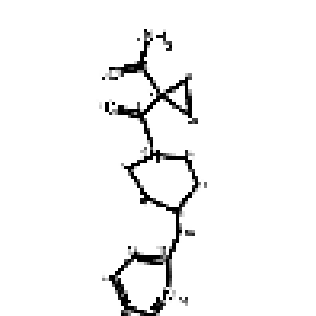 NC(=O)C1(C(=O)N2CCC(Cc3ccccn3)CC2)CC1